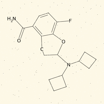 NC(=O)c1ccc(F)c2c1CCC(N(C1CCC1)C1CCC1)O2